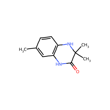 Cc1ccc2c(c1)NC(=O)C(C)(C)N2